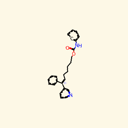 O=C(Nc1ccccc1)OCCCCC/C=C(\c1ccccc1)c1cccnc1